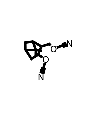 CC1(C)C2CC(OC#N)C(COC#N)C1C2